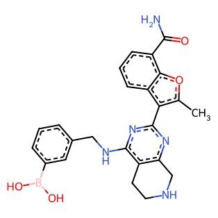 Cc1oc2c(C(N)=O)cccc2c1-c1nc2c(c(NCc3cccc(B(O)O)c3)n1)CCNC2